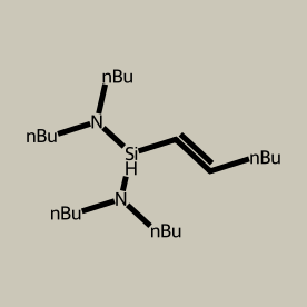 CCCCC=C[SiH](N(CCCC)CCCC)N(CCCC)CCCC